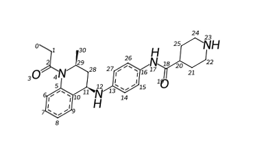 CCC(=O)N1c2ccccc2[C@H](Nc2ccc(NC(=O)C3CCNCC3)cc2)C[C@@H]1C